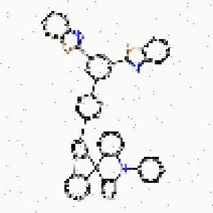 c1ccc(N2c3ccccc3C3(c4ccccc4-c4ccc(-c5ccc(-c6cc(-c7nc8ccccc8s7)cc(-c7nc8ccccc8s7)c6)cc5)cc43)c3ccccc32)cc1